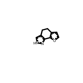 c1cc2c(o1)-c1n[nH]cc1CC2